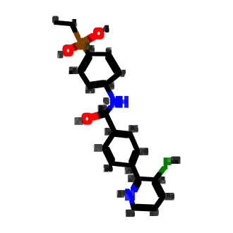 CCS(=O)(=O)c1ccc(NC(=O)c2ccc(-c3ncccc3F)cc2)cc1